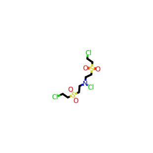 O=S(=O)(CCCl)CCN(Cl)CCS(=O)(=O)CCCl